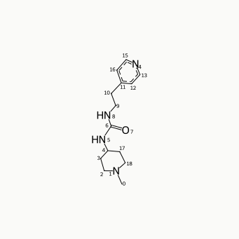 CN1CCC(NC(=O)NCCc2ccncc2)CC1